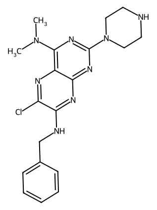 CN(C)c1nc(N2CCNCC2)nc2nc(NCc3ccccc3)c(Cl)nc12